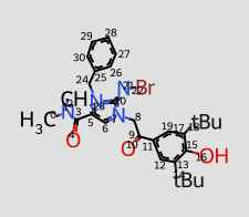 CN(C)C(=O)c1cn(CC(=O)c2cc(C(C)(C)C)c(O)c(C(C)(C)C)c2)/c(=N\Br)n1Cc1ccccc1